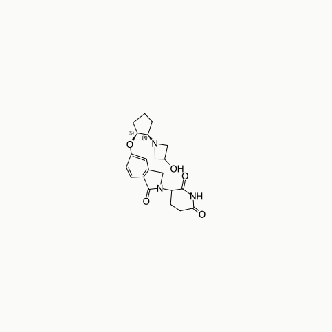 O=C1CCC(N2Cc3cc(O[C@H]4CCC[C@H]4N4CC(O)C4)ccc3C2=O)C(=O)N1